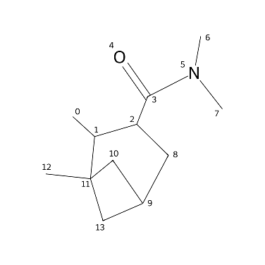 CC1C(C(=O)N(C)C)CC2CC1(C)C2